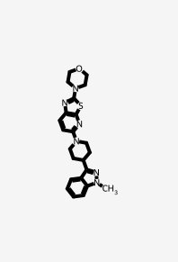 Cn1nc(C2CCN(c3ccc4nc(N5CCOCC5)sc4n3)CC2)c2ccccc21